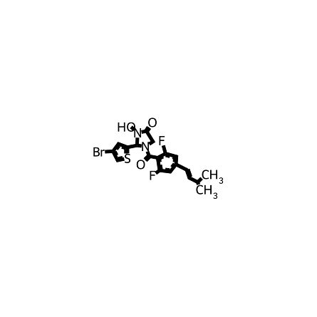 CC(C)C=Cc1cc(F)c(C(=O)N2CC(=O)N(O)C2c2cc(Br)cs2)c(F)c1